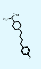 CN(C=O)C1CCN(CCCCc2ccc(F)cc2)CC1